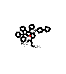 C=C/C(=C\C=C/C)c1ccc(N(c2ccc(-c3ccccc3)cc2)c2ccccc2-c2cccc3c2-c2ccccc2C3(c2ccccc2)c2ccccc2)cc1